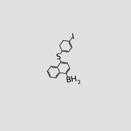 Bc1ccc(SC2=CC=C(I)CC2)c2ccccc12